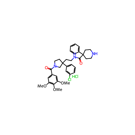 COc1cc(C(=O)N2CCC(CCNC(=O)C3(c4ccccc4)CCNCC3)(c3cccc(Cl)c3)C2)cc(OC)c1OC.Cl